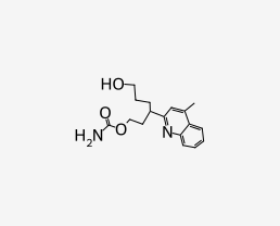 Cc1cc(C(CCCO)CCOC(N)=O)nc2ccccc12